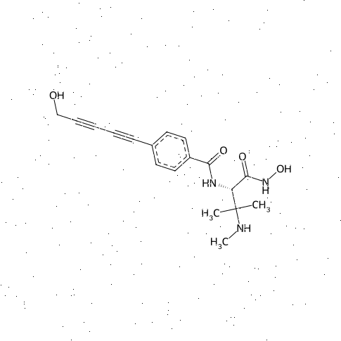 CNC(C)(C)[C@H](NC(=O)c1ccc(C#CC#CCO)cc1)C(=O)NO